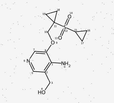 Nc1c(CO)cncc1OCC1(S(=O)(=O)C2CC2)CC1